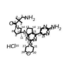 CC(C)(CN)C(=O)N1CC[C@](C)(N2CCc3c(-c4cnc(N)nc4)nc(N4CCOCC4)nc32)C1.Cl